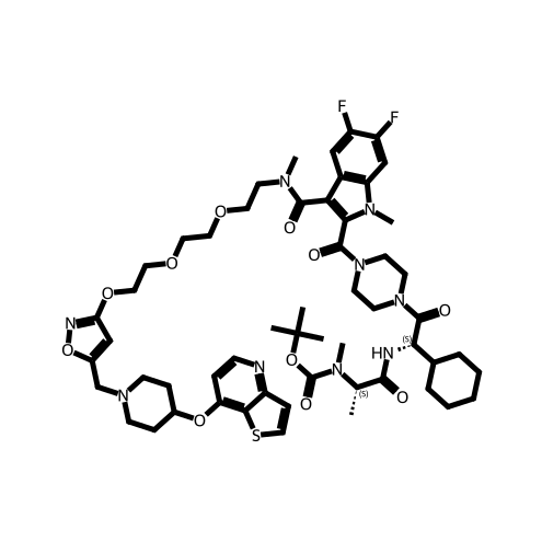 C[C@@H](C(=O)N[C@H](C(=O)N1CCN(C(=O)c2c(C(=O)N(C)CCOCCOCCOc3cc(CN4CCC(Oc5ccnc6ccsc56)CC4)on3)c3cc(F)c(F)cc3n2C)CC1)C1CCCCC1)N(C)C(=O)OC(C)(C)C